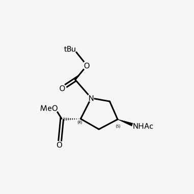 COC(=O)[C@H]1C[C@H](NC(C)=O)CN1C(=O)OC(C)(C)C